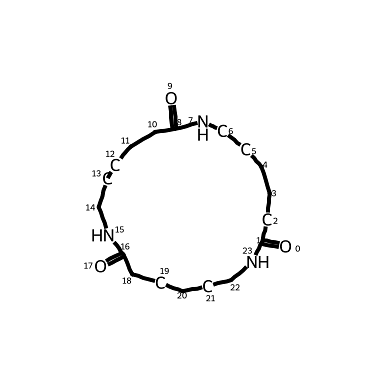 O=C1CCCCCNC(=O)CCCCCNC(=O)CCCCCN1